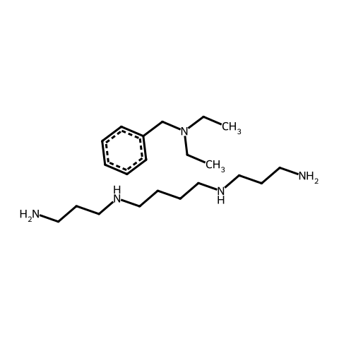 CCN(CC)Cc1ccccc1.NCCCNCCCCNCCCN